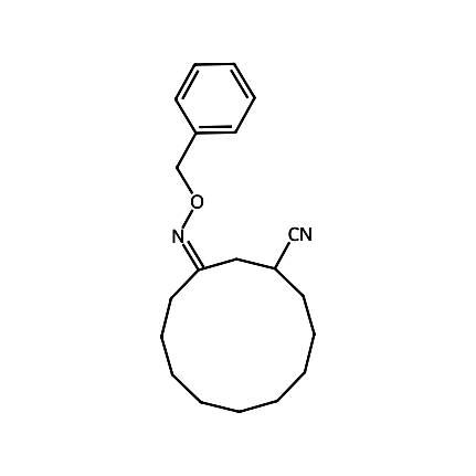 N#CC1CCCCCCCCCC(=NOCc2ccccc2)C1